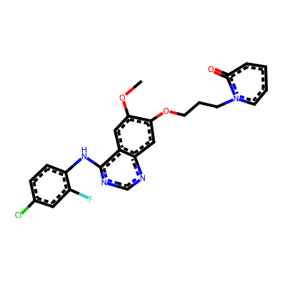 COc1cc2c(Nc3ccc(Cl)cc3F)ncnc2cc1OCCCn1ccccc1=O